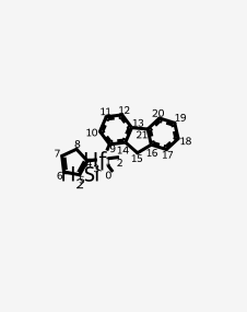 [CH3][Hf]([CH3])(=[SiH2])([C]1=CC=CC1)[c]1cccc2c1Cc1ccccc1-2